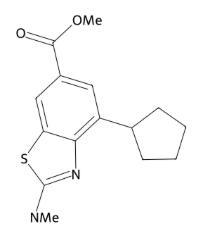 CNc1nc2c(C3CCCC3)cc(C(=O)OC)cc2s1